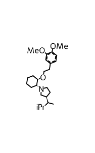 COc1ccc(CCO[C@@H]2CCCC[C@H]2N2CC[C@@H](C(C)C(C)C)C2)cc1OC